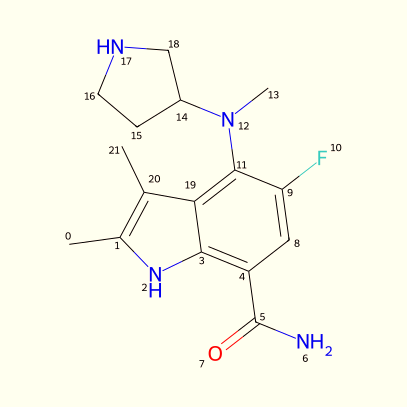 Cc1[nH]c2c(C(N)=O)cc(F)c(N(C)C3CCNC3)c2c1C